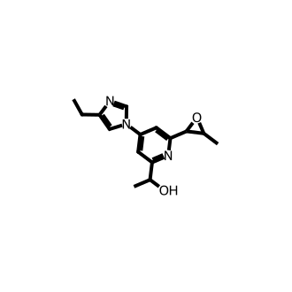 CCc1cn(-c2cc(C(C)O)nc(C3OC3C)c2)cn1